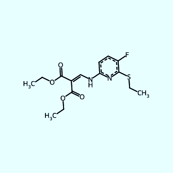 CCOC(=O)C(=CNc1ccc(F)c(SCC)n1)C(=O)OCC